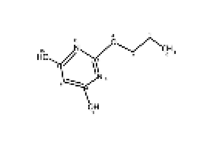 CCCOc1nc(O)cc(O)n1